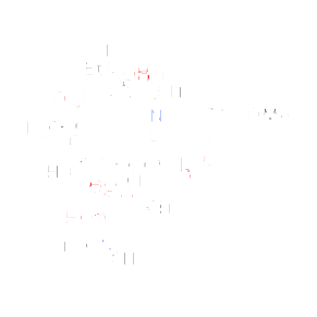 CC[C@H]1OC(=O)[C@H](C)C[C@H](C)[C@@H](O[C@@H]2O[C@H](C)C[C@H](N(C)C)[C@H]2O)[C@](C)(O)C[C@@H](C)CN(Cc2cc(=O)oc3cc(OC)ccc23)[C@H](C)[C@@H](O)[C@]1(C)O